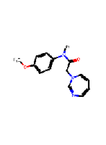 CC(C)N(C(=O)CN1C=CC=CN=C1)c1ccc(OC(F)(F)F)cc1